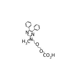 CN(CCOCCOCC(=O)O)c1cnc(-c2ccccc2)c(-c2ccccc2)n1